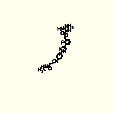 CNC(=O)CCON=C1CCN(c2ncc(-c3cccc(COC(=O)NC(=N)N)c3F)cn2)CC1